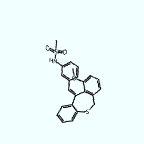 COc1cccc2c1/C(=C\c1cccc(NS(C)(=O)=O)c1)c1ccccc1SC2